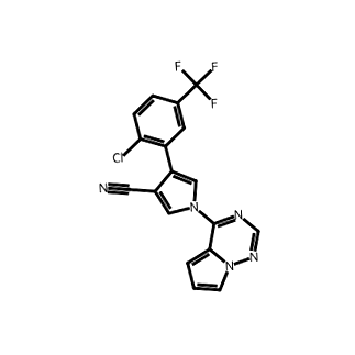 N#Cc1cn(-c2ncnn3cccc23)cc1-c1cc(C(F)(F)F)ccc1Cl